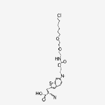 CN(CCOC(=O)NCCOCCOCCCCCCCl)c1ccc2cc(/C=C(\C#N)C(=O)O)sc2c1